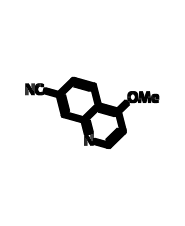 COc1ccnc2cc(C#N)ccc12